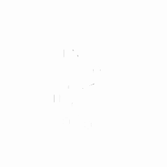 C[C@@H]1[C@H]2CC=C(Nc3ccccc3)C(=O)[C@]2(C)CCC12OCCO2